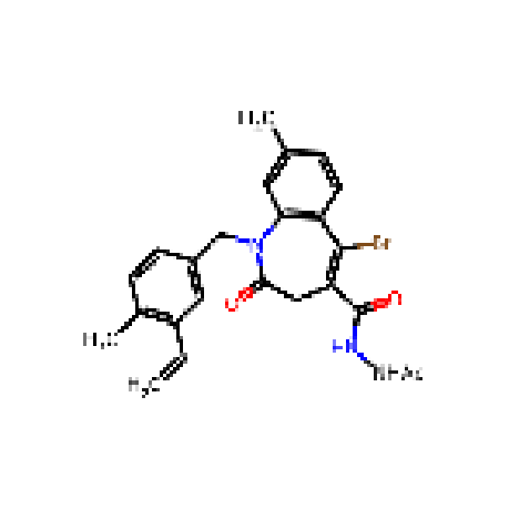 C=Cc1cc(CN2C(=O)CC(C(=O)NNC(C)=O)=C(Br)c3ccc(C)cc32)ccc1C